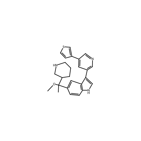 COC(C)(c1ccc2[nH]cc(-c3cncc(-c4ccsc4)c3)c2c1)C1CCCNC1